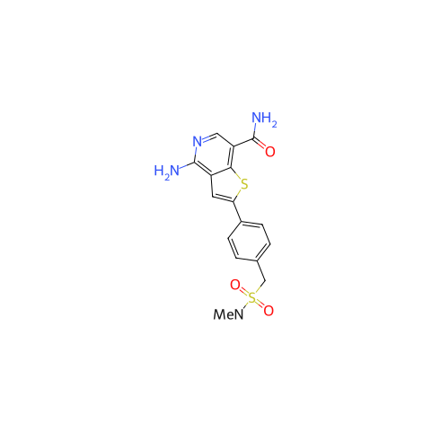 CNS(=O)(=O)Cc1ccc(-c2cc3c(N)ncc(C(N)=O)c3s2)cc1